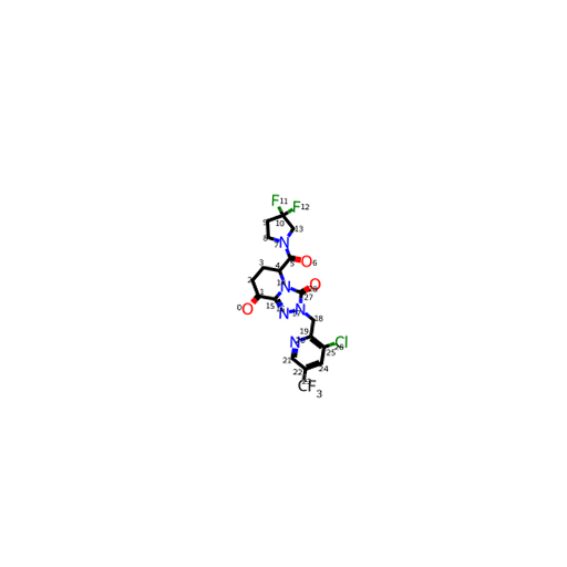 O=C1CCC(C(=O)N2CCC(F)(F)C2)n2c1nn(Cc1ncc(C(F)(F)F)cc1Cl)c2=O